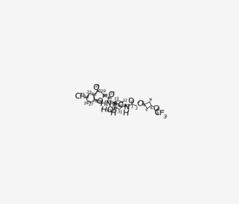 O=C(COC1CC(OC(F)(F)F)C1)NC12CCC(NC(=O)[C@H]3CC(=O)c4cc(Cl)ccc4O3)(CC1)[C@@H](O)C2